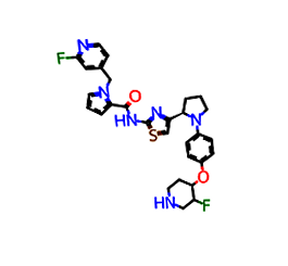 O=C(Nc1nc([C@H]2CCCN2c2ccc(OC3CCNCC3F)cc2)cs1)c1cccn1Cc1ccnc(F)c1